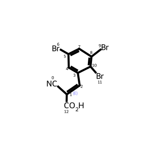 N#C/C(=C\c1cc(Br)cc(Br)c1Br)C(=O)O